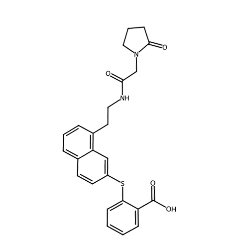 O=C(CN1CCCC1=O)NCCc1cccc2ccc(Sc3ccccc3C(=O)O)cc12